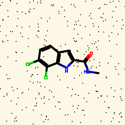 CNC(=O)c1cc2ccc(Cl)c(Cl)c2[nH]1